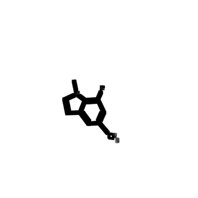 Cn1ccc2cc(C(F)(F)F)cc(F)c21